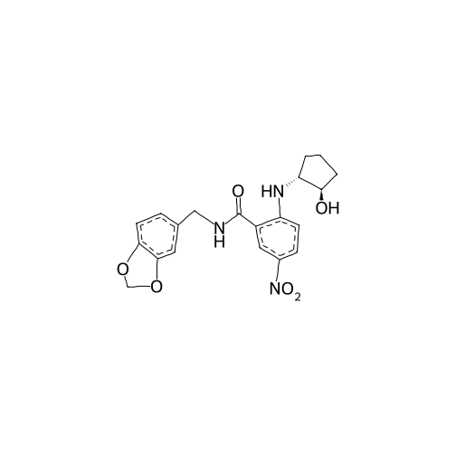 O=C(NCc1ccc2c(c1)OCO2)c1cc([N+](=O)[O-])ccc1N[C@@H]1CCC[C@H]1O